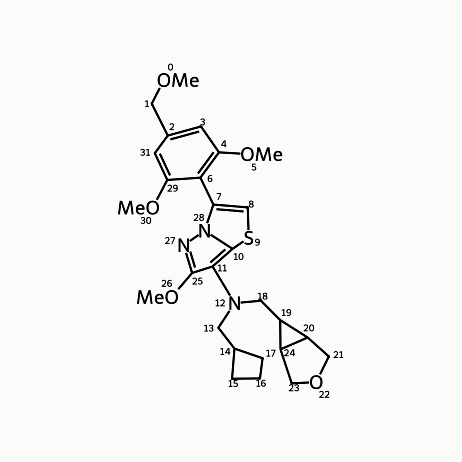 COCc1cc(OC)c(-c2csc3c(N(CC4CCC4)CC4C5COCC54)c(OC)nn23)c(OC)c1